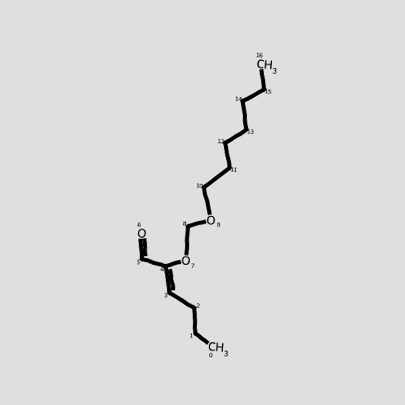 CCCC=C(C=O)OCOCCCCCCC